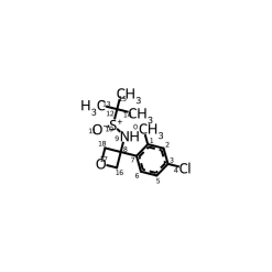 Cc1cc(Cl)ccc1C1(N[S+]([O-])C(C)(C)C)COC1